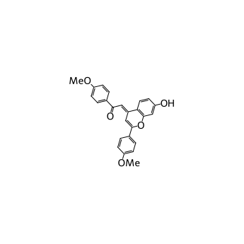 COc1ccc(C(=O)C=C2C=C(c3ccc(OC)cc3)Oc3cc(O)ccc32)cc1